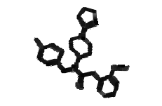 COc1ccccc1CC(=O)N(Cc1ccc(C)cc1)C1CCN(C2CCCC2)CC1